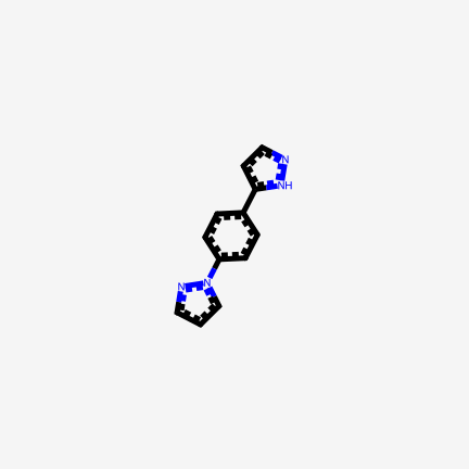 [c]1cc(-c2ccc(-n3cccn3)cc2)[nH]n1